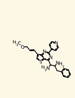 COCC=Cc1csc2c(C(N)C(N)Cc3ccccc3)nc(-c3ccncc3)nc12